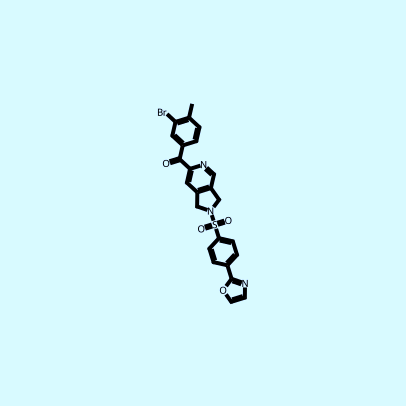 Cc1ccc(C(=O)c2cc3c(cn2)CN(S(=O)(=O)c2ccc(-c4ncco4)cc2)C3)cc1Br